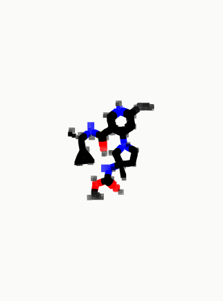 COc1cc(N2CC[C@](C)(NC(=O)OC(C)(C)C)C2)c(C(=O)N[C@@H](C)C2CC2)cn1